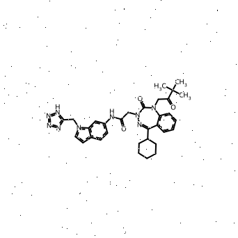 CC(C)(C)C(=O)CN1C(=O)N(CC(=O)Nc2ccc3ccn(Cc4nnn[nH]4)c3c2)N=C(C2CCCCC2)c2ccccc21